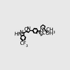 CC(C)(O)C1CCCN1C(=O)c1ccc(-c2cc(-c3n[nH]c4cc(C(F)(F)F)ccc34)on2)cc1